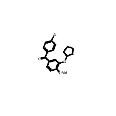 COc1ccc(C(=O)c2ccc(Br)cc2)cc1OC1CCCC1